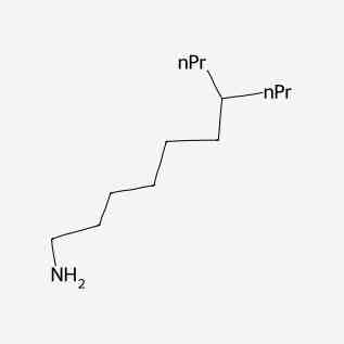 CCCC(CCC)CCCCCCN